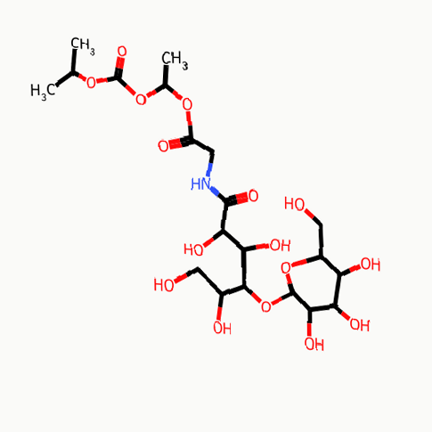 CC(C)OC(=O)OC(C)OC(=O)CNC(=O)C(O)C(O)C(OC1OC(CO)C(O)C(O)C1O)C(O)CO